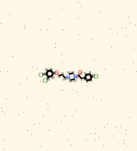 O=C(Cc1ccc(Cl)cc1)N1CCN(CCCOc2ccc(Cl)c(Cl)c2)CC1